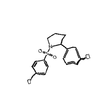 O=S(=O)(c1ccc(Cl)cc1)N1CCCC1c1cccc(Cl)c1